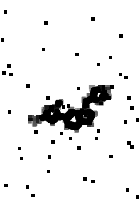 Cn1nc(C(F)(F)F)cc1-c1ccc2c(c1)N(Cc1c[nH]cn1)CC2